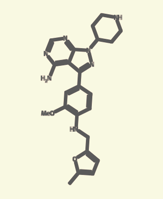 COc1cc(-c2nn(C3CCNCC3)c3ncnc(N)c23)ccc1NCc1ccc(C)o1